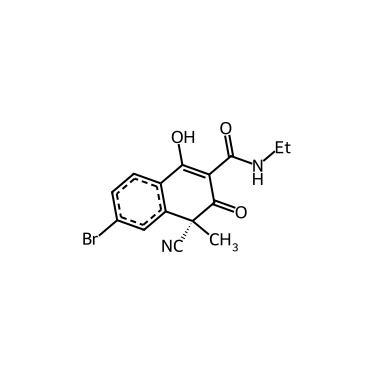 CCNC(=O)C1=C(O)c2ccc(Br)cc2[C@@](C)(C#N)C1=O